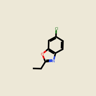 CCc1nc2ccc(Cl)cc2o1